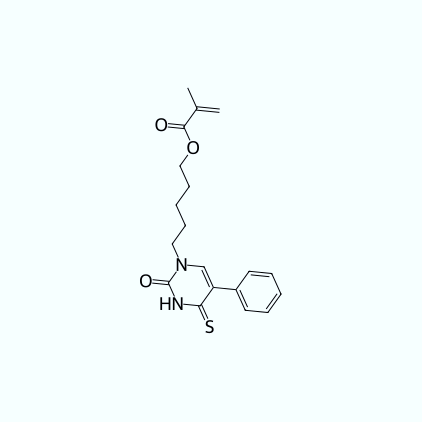 C=C(C)C(=O)OCCCCCn1cc(-c2ccccc2)c(=S)[nH]c1=O